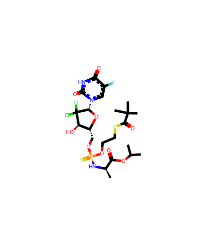 CC(C)OC(=O)[C@@H](C)N[P@](=S)(OCCSC(=O)C(C)(C)C)OC[C@H]1O[C@@H](n2cc(F)c(=O)[nH]c2=O)C(Cl)(Cl)[C@@H]1O